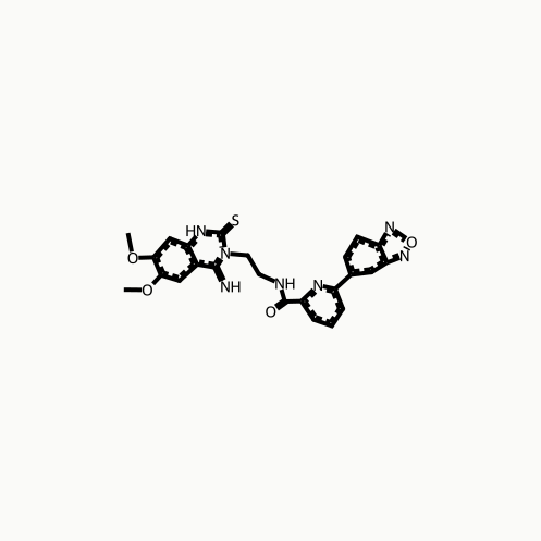 COc1cc2[nH]c(=S)n(CCNC(=O)c3cccc(-c4ccc5nonc5c4)n3)c(=N)c2cc1OC